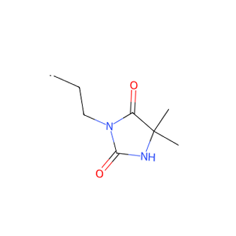 [CH2]CCN1C(=O)NC(C)(C)C1=O